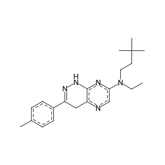 CCN(CCC(C)(C)C)c1cnc2c(n1)NN=C(c1ccc(C)cc1)C2